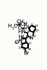 CC(C)(C)OC(=O)NCC(/N=C\c1ccccc1)C1=C[NH+]([O-])c2cc(Br)ccc21